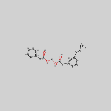 CCCc1cccc(CC(=O)OCOC(=O)Cc2ccccc2)c1